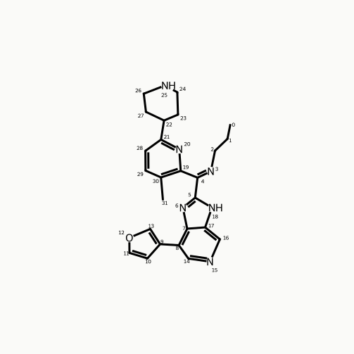 CCC/N=C(/c1nc2c(-c3ccoc3)cncc2[nH]1)c1nc(C2CCNCC2)ccc1C